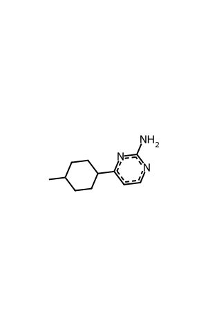 CC1CCC(c2ccnc(N)n2)CC1